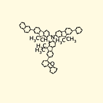 CC1(C)c2cc(-c3ccccc3)ccc2-c2ccc(N(c3ccc4c(c3)C(C)(C)c3cc(-c5ccc6ccccc6c5)ccc3-4)c3ccc4c(c3)C(C)(C)c3cc(-c5cccc6c5oc5ccccc56)ccc3-4)cc21